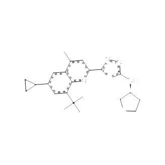 Cc1cc(-c2nnc(N[C@H]3CCOC3)o2)nc2c(C(C)(C)C)cc(C3CC3)cc12